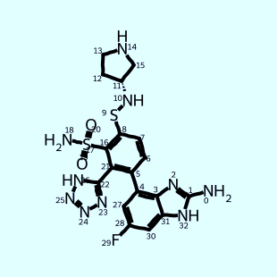 Nc1nc2c(-c3ccc(SN[C@@H]4CCNC4)c(S(N)(=O)=O)c3-c3nnn[nH]3)cc(F)cc2[nH]1